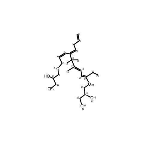 C=CC/C=C(\C=C/COCC(O)CCl)C(C)(C)/C(C)=C/C=C(\CC)OC[C@@H](O)CO